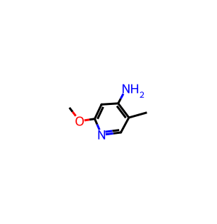 COc1cc(N)c(C)cn1